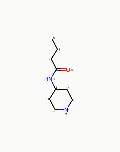 CCCC(=O)NC1CC[N]CC1